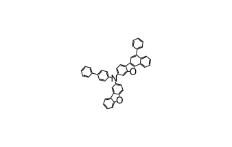 c1ccc(-c2ccc(N(c3ccc4c(c3)oc3c5ccccc5c(-c5ccccc5)cc43)c3ccc4oc5ccccc5c4c3)cc2)cc1